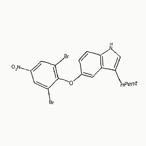 CCCCCc1c[nH]c2ccc(Oc3c(Br)cc([N+](=O)[O-])cc3Br)cc12